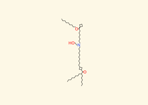 CCCCCCCCCOC(CCCCCCCN(CCO)CCCCCCCCCCC1CC(C(=O)C(CCCCCC)CCCCCCCC)C1)=C1CCC1